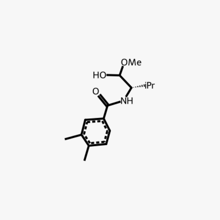 COC(O)[C@@H](NC(=O)c1ccc(C)c(C)c1)C(C)C